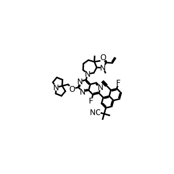 C#Cc1c(F)ccc2cc(C(C)(C)C#N)cc(-c3ncc4c(N5CCCC(C)(C)C(N(C)C(=O)C=C)C5)nc(OCC56CCCN5CCC6)nc4c3F)c12